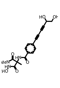 CNC(=O)C(C)(NC(=O)c1ccc(C#CC#CC(O)CO)cc1)C(=O)NO